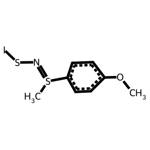 COc1ccc(/S(C)=N/SI)cc1